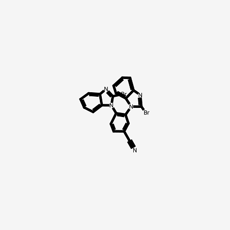 N#Cc1ccc(-n2c(Br)nc3ccccc32)c(-n2c(Br)nc3ccccc32)c1